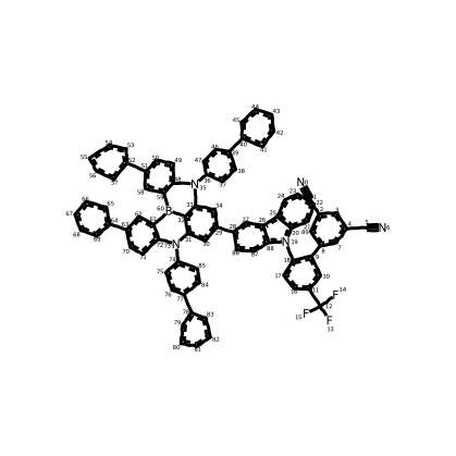 N#Cc1cc(C#N)cc(-c2cc(C(F)(F)F)ccc2-n2c3ccccc3c3cc(-c4cc5c6c(c4)N(c4ccc(-c7ccccc7)cc4)c4ccc(-c7ccccc7)cc4B6c4cc(-c6ccccc6)ccc4N5c4ccc(-c5ccccc5)cc4)ccc32)c1